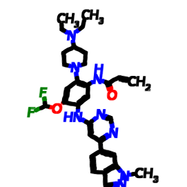 C=CC(=O)Nc1cc(Nc2cc(-c3ccc4cnn(C)c4c3)ncn2)c(OC(F)F)cc1N1CCC(N(CC)CC)CC1